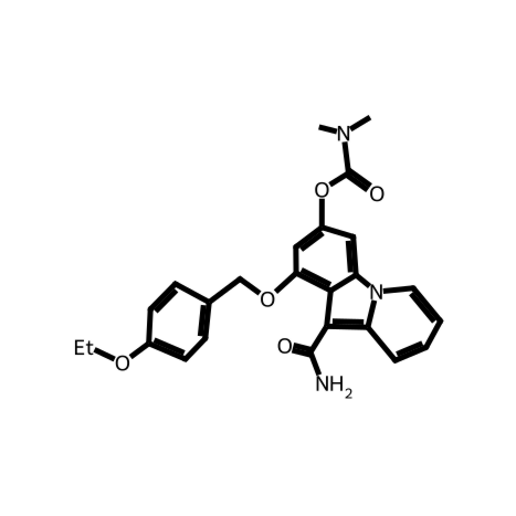 CCOc1ccc(COc2cc(OC(=O)N(C)C)cc3c2c(C(N)=O)c2ccccn23)cc1